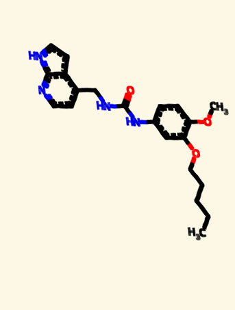 CCCCCOc1cc(NC(=O)NCc2ccnc3[nH]ccc23)ccc1OC